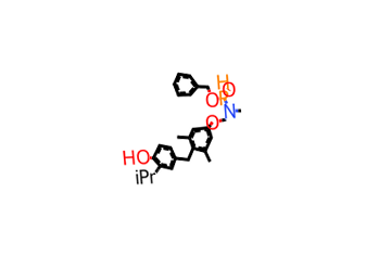 Cc1cc(OCN(C)[PH](=O)OCc2ccccc2)cc(C)c1Cc1ccc(O)c(C(C)C)c1